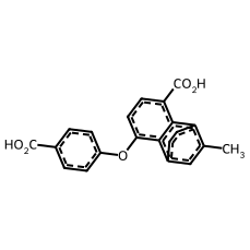 Cc1cc2ccc1c1c(C(=O)O)ccc(Oc3ccc(C(=O)O)cc3)c21